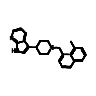 Cc1cccc2cccc(CN3CCC(c4c[nH]c5ncccc45)CC3)c12